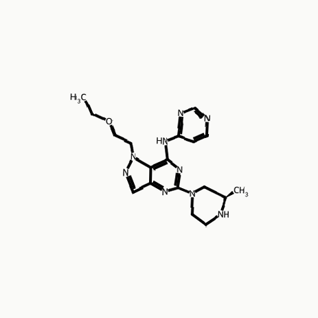 CCOCCn1ncc2nc(N3CCN[C@H](C)C3)nc(Nc3ccncn3)c21